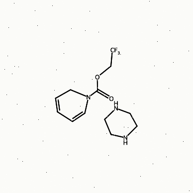 C1CNCCN1.O=C(OCC(F)(F)F)N1C=CC=CC1